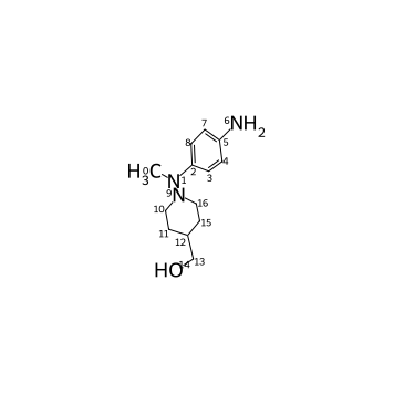 CN(c1ccc(N)cc1)N1CCC(CO)CC1